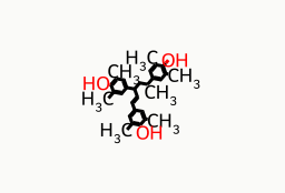 Cc1cc(/C=C/C(CC(C)c2cc(C)c(O)c(C)c2)c2cc(C)c(O)c(C)c2)cc(C)c1O